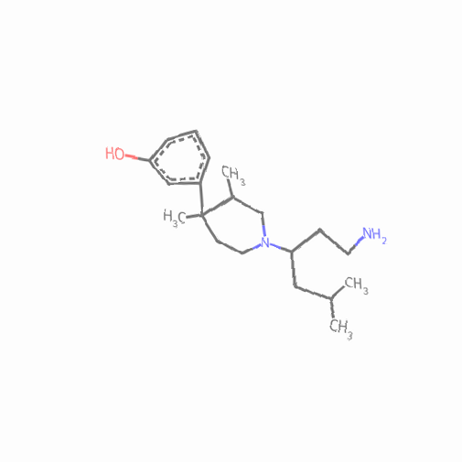 CC(C)CC(CCN)N1CCC(C)(c2cccc(O)c2)C(C)C1